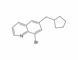 Brc1cc(CC2CCCC2)cc2cccnc12